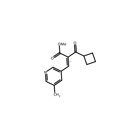 COC(=O)/C(=C\c1cncc(C)c1)C(=O)C1CCC1